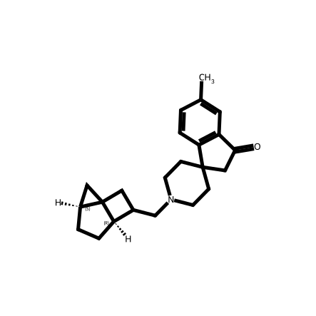 Cc1ccc2c(c1)C(=O)CC21CCN(CC2CC34C[C@@H]3CC[C@H]24)CC1